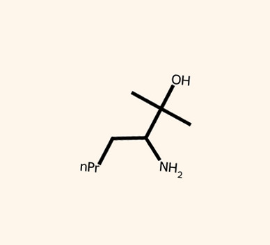 CCCCC(N)C(C)(C)O